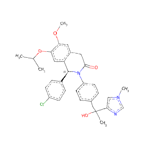 COc1cc2c(cc1OC(C)C)[C@H](c1ccc(Cl)cc1)N(c1ccc(C(C)(O)c3cn(C)cn3)cc1)C(=O)C2